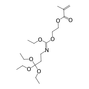 C=C(C)C(=O)OCCOC(=NCCC(OCC)(OCC)OCC)OCC